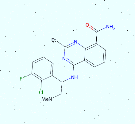 CCc1nc(NC(CNC)c2cccc(F)c2Cl)c2cccc(C(N)=O)c2n1